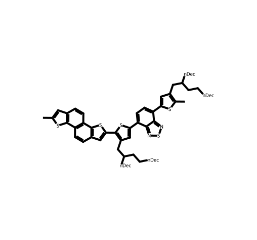 CCCCCCCCCCCCC(CCCCCCCCCC)Cc1cc(-c2ccc(-c3cc(CC(CCCCCCCCCC)CCCCCCCCCCCC)c(-c4cc5ccc6c(ccc7cc(C)sc76)c5s4)s3)c3nsnc23)sc1C